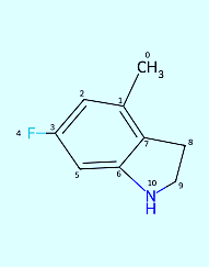 Cc1cc(F)cc2c1CCN2